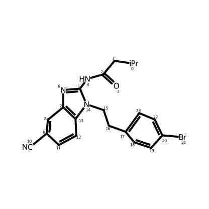 CC(C)CC(=O)Nc1nc2cc(C#N)ccc2n1CCc1ccc(Br)cc1